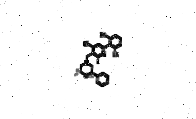 CCc1cccc(CC)c1-c1cc(Cl)c(CN2C[C@@H](C)O[C@H](c3ccccc3)C2)c(C)n1